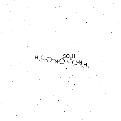 C=Cc1ccc(/C=N/c2ccc(/C=C/c3ccc(N=C)cc3)c(S(=O)(=O)O)c2)cc1